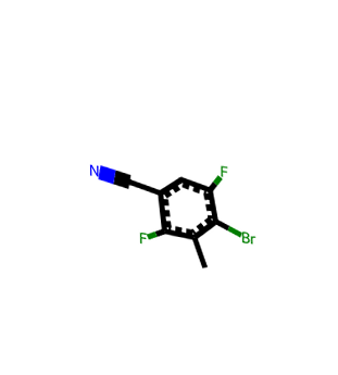 Cc1c(F)c(C#N)cc(F)c1Br